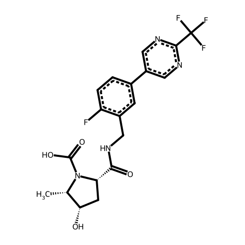 C[C@H]1[C@@H](O)C[C@@H](C(=O)NCc2cc(-c3cnc(C(F)(F)F)nc3)ccc2F)N1C(=O)O